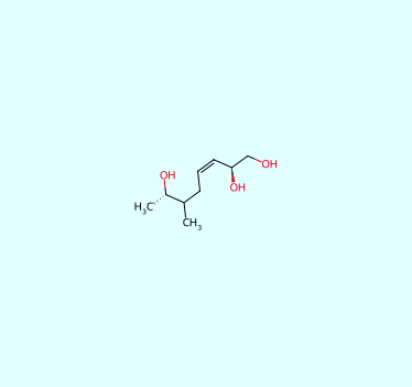 CC(C/C=C\[C@H](O)CO)[C@H](C)O